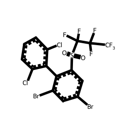 O=S(=O)(c1cc(Br)[c]c(Br)c1-c1c(Cl)cccc1Cl)C(F)(F)C(F)(F)C(F)(F)F